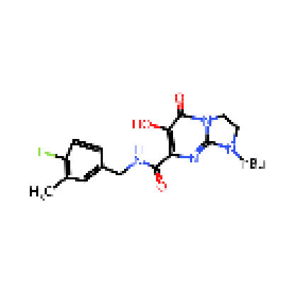 CCCCN1CCn2c1nc(C(=O)NCc1ccc(F)c(C)c1)c(O)c2=O